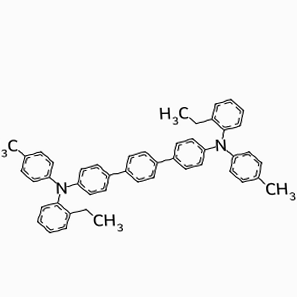 CCc1ccccc1N(c1ccc(C)cc1)c1ccc(-c2ccc(-c3ccc(N(c4ccc(C)cc4)c4ccccc4CC)cc3)cc2)cc1